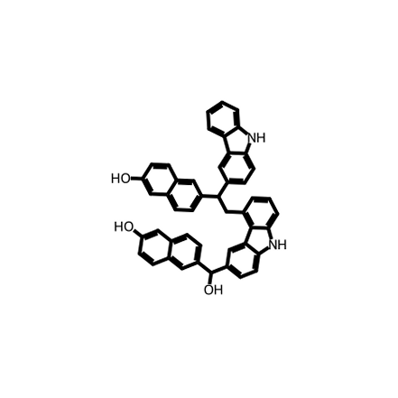 Oc1ccc2cc(C(O)c3ccc4[nH]c5cccc(CC(c6ccc7cc(O)ccc7c6)c6ccc7[nH]c8ccccc8c7c6)c5c4c3)ccc2c1